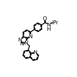 CC(C)NC(=O)c1ccc(-c2ccc3nnn(Cc4cccc5cccnc45)c3n2)cc1